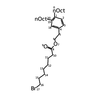 CCCCCCCCc1ccc(CCOC(=O)CCCCCCCBr)cc1CCCCCCCC